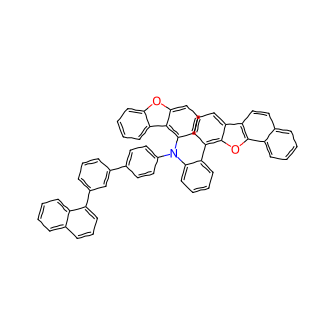 c1cc(-c2ccc(N(c3ccccc3-c3cccc4c3oc3c5ccccc5ccc43)c3cccc4oc5ccccc5c34)cc2)cc(-c2cccc3ccccc23)c1